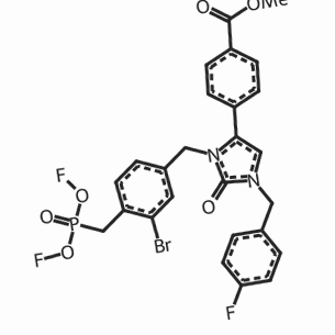 COC(=O)c1ccc(-c2cn(Cc3ccc(F)cc3)c(=O)n2Cc2ccc(CP(=O)(OF)OF)c(Br)c2)cc1